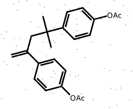 C=C(CC(C)(C)c1ccc(OC(C)=O)cc1)c1ccc(OC(C)=O)cc1